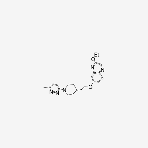 CCOc1cnc2ccc(OCCC3CCN(c4ccc(C)nn4)CC3)cc2n1